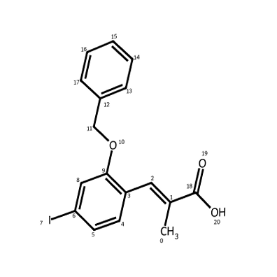 C/C(=C\c1ccc(I)cc1OCc1ccccc1)C(=O)O